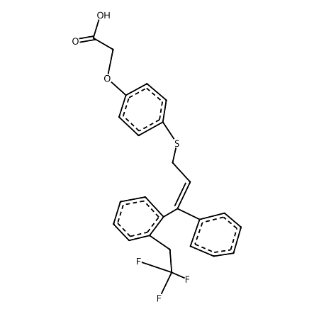 O=C(O)COc1ccc(SCC=C(c2ccccc2)c2ccccc2CC(F)(F)F)cc1